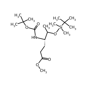 COC(=O)CC[C@H](NC(=O)OC(C)(C)C)C(C)O[Si](C)(C)C(C)(C)C